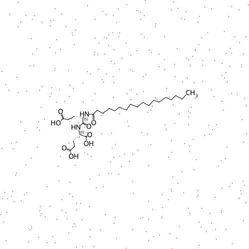 CCCCCCCCCCCCCCCCCC(=O)N[C@@H](CCC(=O)O)C(=O)N[C@@H](CCC(=O)O)C(=O)O